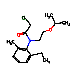 CCc1cccc(C)c1N(CCOC(C)C)C(=O)CCl